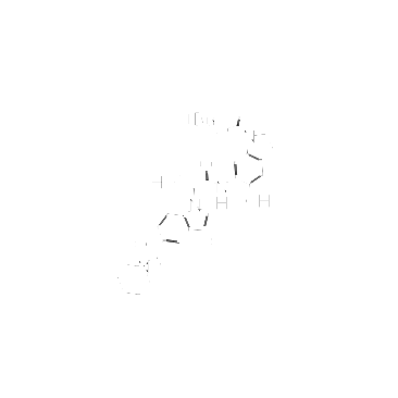 Cc1cc2c(cc1NC(=O)C(C)n1cc(C)c3cc(S(=O)(=O)N4CCCCC4)ccc31)N(C(=O)OC(C)(C)C)CC2